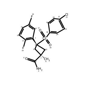 C[C@]1(C(N)=O)C[C@](c2cc(F)ccc2F)(S(=O)(=O)c2ccc(Cl)cc2)C1